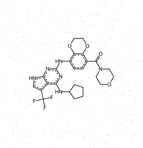 O=C(c1ccc(Nc2nc(NC3CCCC3)c3c(C(F)(F)F)c[nH]c3n2)c2c1OCCO2)N1CCOCC1